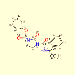 O=C(O)C(NC(=O)N1CCN(C(=O)Oc2ccccc2)C1=O)c1ccccc1